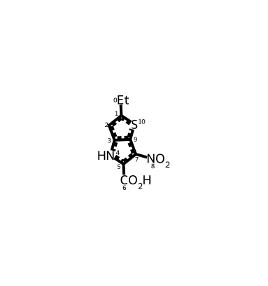 CCc1cc2[nH]c(C(=O)O)c([N+](=O)[O-])c2s1